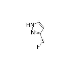 FSc1cc[nH]n1